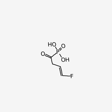 O=C(CC=CF)P(=O)(O)O